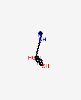 C[C@]12CC[C@@H]3c4ccc(O)cc4CC[C@H]3[C@@H]1C[C@H](CCCCCCCCCCCNCCc1ccccn1)[C@@H]2O